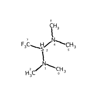 CN(C)[SH](N(C)C)C(F)(F)F